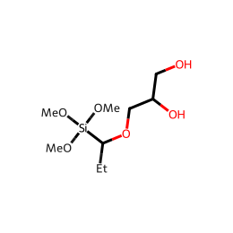 CCC(OCC(O)CO)[Si](OC)(OC)OC